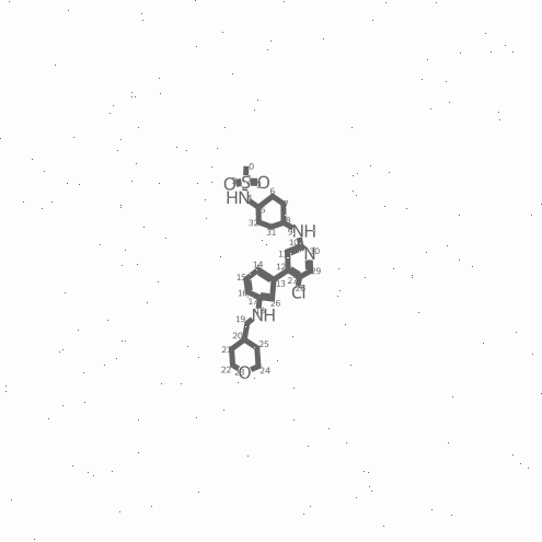 CS(=O)(=O)NC1CCC(Nc2cc(-c3cccc(NCC4CCOCC4)c3)c(Cl)cn2)CC1